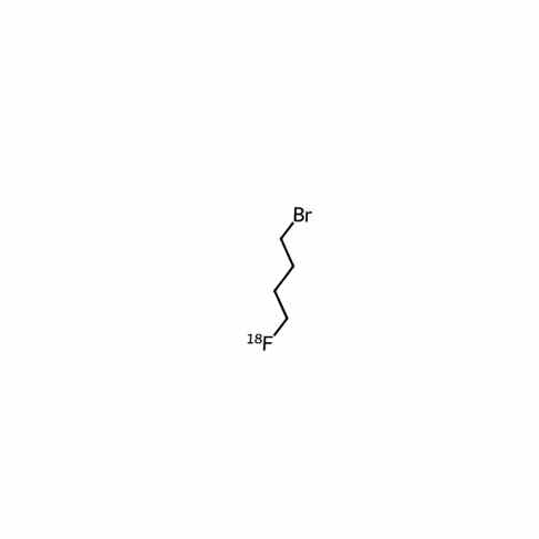 [18F]CCCCBr